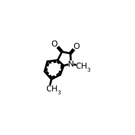 Cc1ccc2c(c1)N(C)C(=O)C2=O